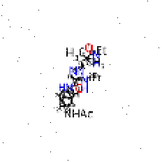 CCNC(=O)C(C)(C)/C=C/n1ncc(C(=O)N[C@H]2C3CC4CC2C[C@](NC(C)=O)(C4)C3)c1NC(C)C